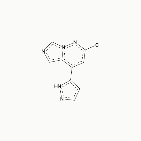 Clc1cc(-c2ccn[nH]2)c2cncn2n1